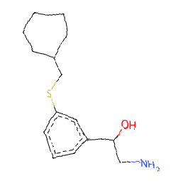 NCC(O)c1cccc(SCC2CCCCC2)c1